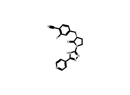 N#Cc1ccc(C[C@H]2CCN(c3nnc(-c4ccncc4)[nH]3)C2=O)cc1F